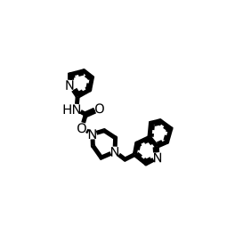 O=C(Nc1ccccn1)ON1CCN(Cc2cnc3ccccc3c2)CC1